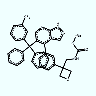 CC(C)(C)OC(=O)NCC1(c2cccc(-c3c(C(c4ccccc4)(c4ccccc4)c4cccc(C(F)(F)F)c4)cnc4[nH]ncc34)c2)COC1